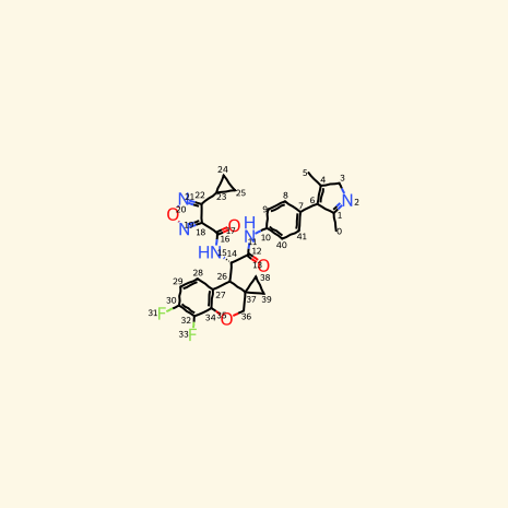 CC1=NCC(C)=C1c1ccc(NC(=O)[C@@H](NC(=O)c2nonc2C2CC2)C2c3ccc(F)c(F)c3OCC23CC3)cc1